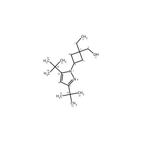 CCC1(CO)CC(n2nc(C(C)(C)C)cc2C(C)(C)C)C1